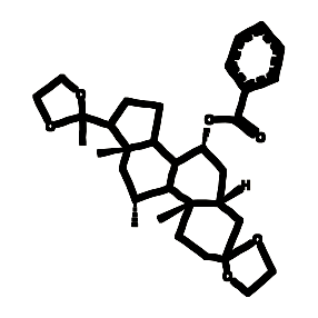 C[C@@H]1C[C@@]2(C)C(CCC2C2(C)OCCO2)C2C1[C@@]1(C)CCC3(C[C@H]1C[C@H]2OC(=O)c1ccccc1)OCCO3